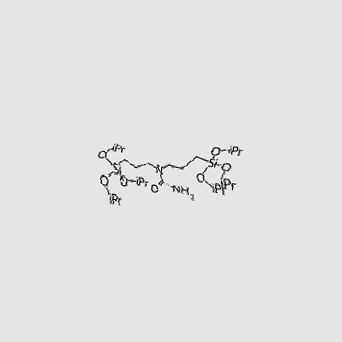 CC(C)O[Si](CCCN(CCC[Si](OC(C)C)(OC(C)C)OC(C)C)C(N)=O)(OC(C)C)OC(C)C